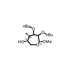 CCCCOC1C(OCCCC)[C@H](C)[C@H](O)CO[C@@H]1OC